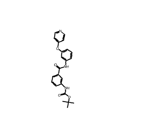 CC(C)(C)OC(=O)Nc1cccc(C(=O)Nc2cccc(Oc3ccncc3)c2)c1